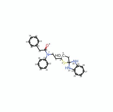 O=C(O)CC1(SCCCN(C(=O)Cc2ccccc2)c2ccccc2)Nc2ccccc2N1